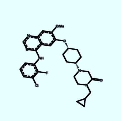 COc1cc2ncnc(Nc3cccc(Cl)c3F)c2cc1O[C@H]1CC[C@@H](N2CCN(CC3CC3)C(=O)C2)CC1